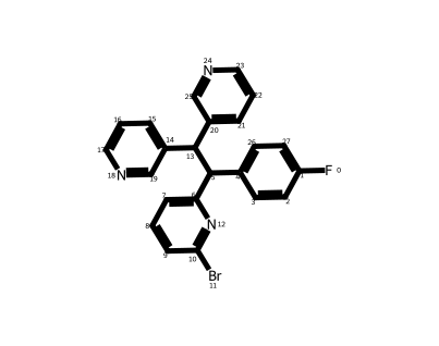 Fc1ccc(C(c2cccc(Br)n2)C(c2cccnc2)c2cccnc2)cc1